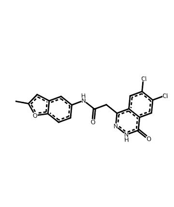 Cc1cc2cc(NC(=O)Cc3n[nH]c(=O)c4cc(Cl)c(Cl)cc34)ccc2o1